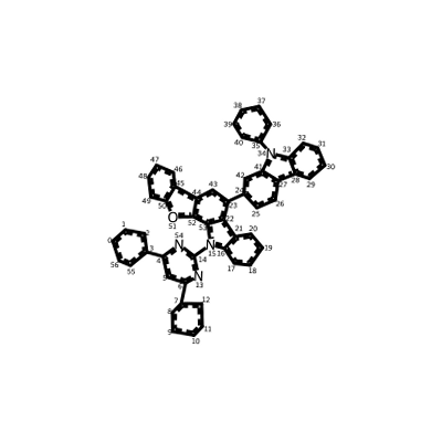 c1ccc(-c2cc(-c3ccccc3)nc(-n3c4ccccc4c4c(-c5ccc6c7ccccc7n(-c7ccccc7)c6c5)cc5c6ccccc6oc5c43)n2)cc1